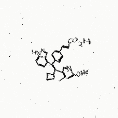 COc1cc(C)c(C(=C(c2ccc(C=CC(=O)O)cc2)c2cccc3[nH]ncc23)C2CCC2)cn1